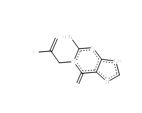 C=C(CC)Cn1c(N)nc2[nH]cnc2c1=O